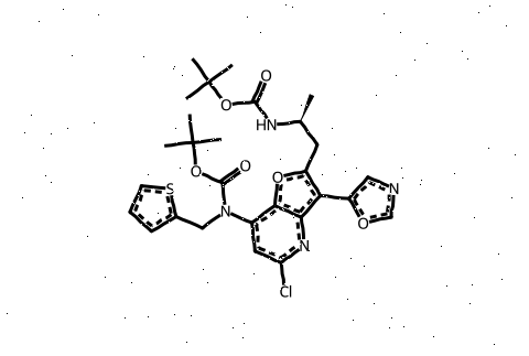 C[C@@H](Cc1oc2c(N(Cc3cccs3)C(=O)OC(C)(C)C)cc(Cl)nc2c1-c1cnco1)NC(=O)OC(C)(C)C